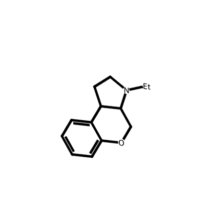 CCN1CCC2c3ccccc3OCC21